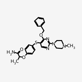 CC(Oc1ccc(Sc2cnc(N3CCN(C)CC3)nc2OCc2ccccc2)cc1)C(N)=O